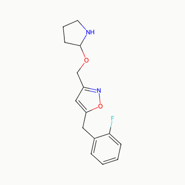 Fc1ccccc1Cc1cc(COC2CCCN2)no1